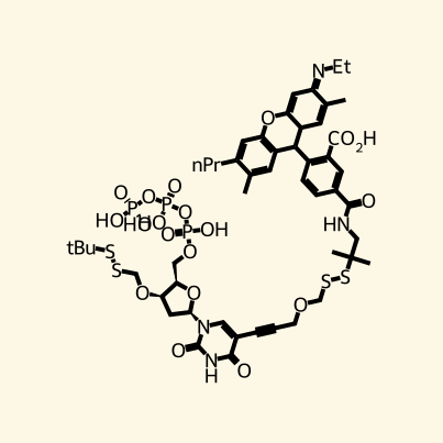 CCCc1cc2c(cc1C)C(c1ccc(C(=O)NCC(C)(C)SSCOCC#Cc3cn([C@H]4C[C@@H](OCSSC(C)(C)C)[C@@H](COP(=O)(O)OP(=O)(O)OP(=O)(O)O)O4)c(=O)[nH]c3=O)cc1C(=O)O)C1C=C(C)/C(=N\CC)C=C1O2